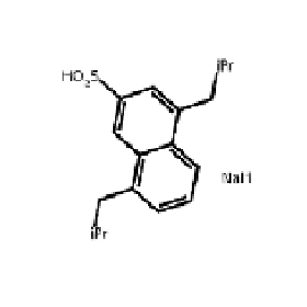 CC(C)Cc1cc(S(=O)(=O)O)cc2c(CC(C)C)cccc12.[NaH]